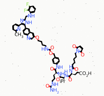 Cc1cccc(-c2nc(CNc3cccc(F)c3F)[nH]c2-c2ccc3ncc(OCCCCNC(=O)OCc4ccc(NC(=O)[C@H](CCCNC(N)=O)NC(=O)[C@@H](NC(=O)[C@H](CCC(=O)O)NC(=O)CCCCCN5C(=O)C=CC5=O)C(C)C)cc4)cc3c2)n1